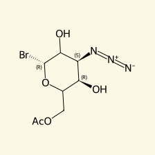 CC(=O)OCC1O[C@H](Br)C(O)[C@@H](N=[N+]=[N-])[C@H]1O